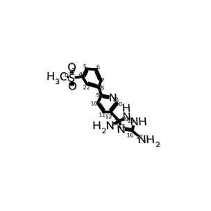 CS(=O)(=O)c1cccc(-c2ccc(C3(N)N=C(N)NN3)cn2)c1